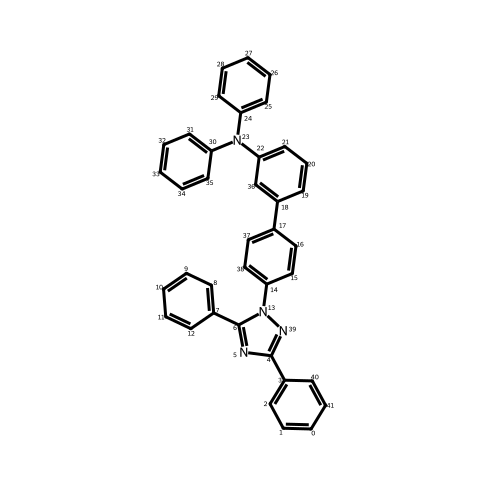 c1ccc(-c2nc(-c3ccccc3)n(-c3ccc(-c4cccc(N(c5ccccc5)c5ccccc5)c4)cc3)n2)cc1